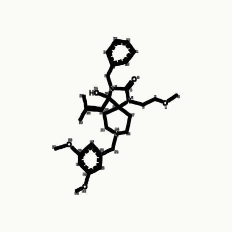 COCCN1C(=O)N(Cc2ccccc2)C(O)(C=C(C)C)C12CCN(Cc1cc(OC)cc(OC)c1)CC2